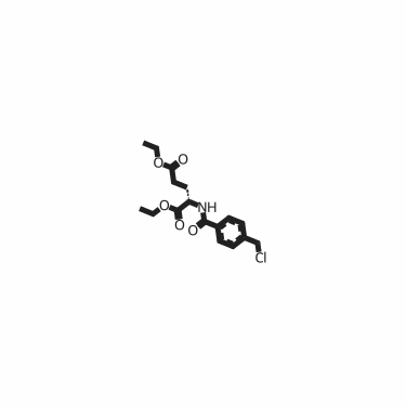 CCOC(=O)CC[C@H](NC(=O)c1ccc(CCl)cc1)C(=O)OCC